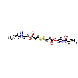 C=CCNCCOC(=O)CCSSCCC(=O)OCCNC(=O)C=C